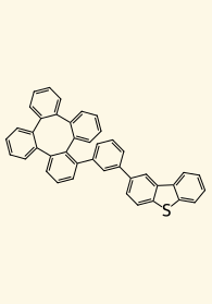 c1cc(-c2ccc3sc4ccccc4c3c2)cc(-c2cccc3c2-c2ccccc2-c2ccccc2-c2ccccc2-3)c1